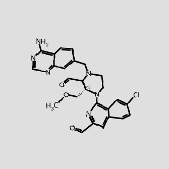 COC[C@@H]1C(C=O)N(Cc2ccc3c(N)ncnc3c2)CCN1c1nc(C=O)cc2ccc(Cl)cc12